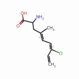 C=C/C(Cl)=C\C=C(/C)CC(N)C(=O)O